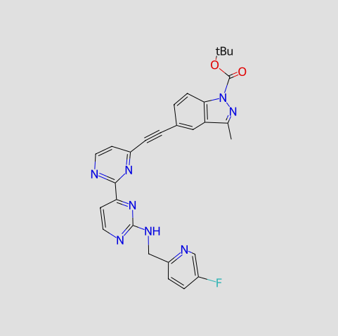 Cc1nn(C(=O)OC(C)(C)C)c2ccc(C#Cc3ccnc(-c4ccnc(NCc5ccc(F)cn5)n4)n3)cc12